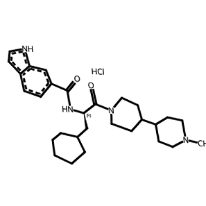 CN1CCC(C2CCN(C(=O)[C@@H](CC3CCCCC3)NC(=O)c3ccc4cc[nH]c4c3)CC2)CC1.Cl